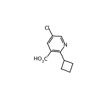 O=C(O)c1cc(Cl)cnc1C1CCC1